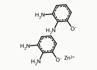 Nc1cccc([O-])c1N.Nc1cccc([O-])c1N.[Zn+2]